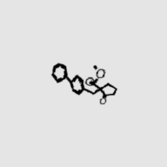 COC(=O)C1(Cc2ccc(-c3ccccc3)cc2)CCCC1=O